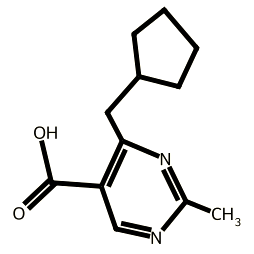 Cc1ncc(C(=O)O)c(CC2CCCC2)n1